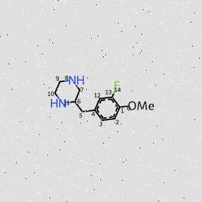 COc1ccc(CC2CNCCN2)cc1F